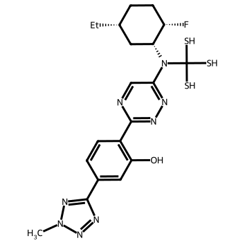 CC[C@@H]1CC[C@H](F)[C@H](N(c2cnc(-c3ccc(-c4nnn(C)n4)cc3O)nn2)C(S)(S)S)C1